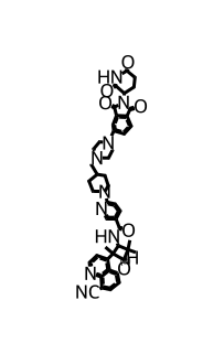 CC1(C)C(NC(=O)c2ccc(N3CCC(CN4CCN(c5ccc6c(c5)C(=O)N(C5CCC(=O)NC5=O)C6=O)CC4)CC3)nc2)C2(C)c3ccnc4c(C#N)ccc(c34)O[C@@H]12